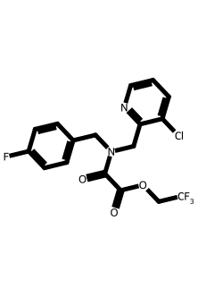 O=C(OCC(F)(F)F)C(=O)N(Cc1ccc(F)cc1)Cc1ncccc1Cl